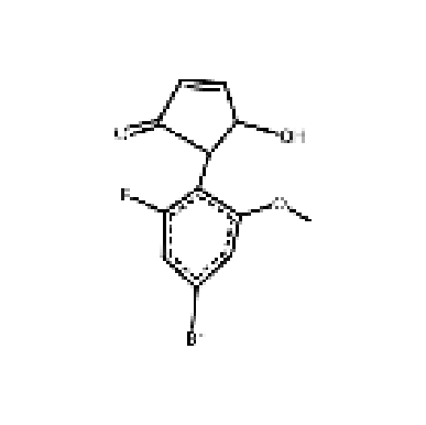 COc1cc(Br)cc(F)c1C1C(=O)C=CC1O